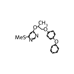 CSc1cc(OC(C)COc2ccc(Oc3ccccc3)cc2)ncn1